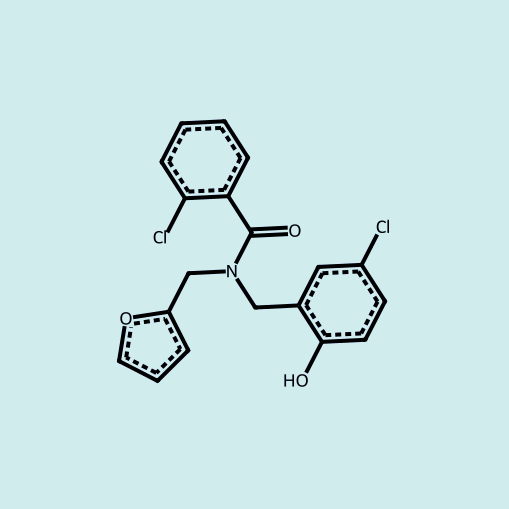 O=C(c1ccccc1Cl)N(Cc1ccco1)Cc1cc(Cl)ccc1O